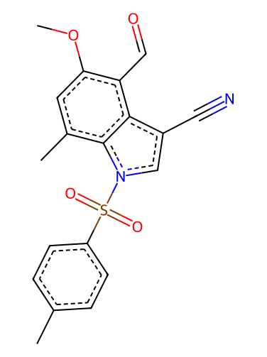 COc1cc(C)c2c(c(C#N)cn2S(=O)(=O)c2ccc(C)cc2)c1C=O